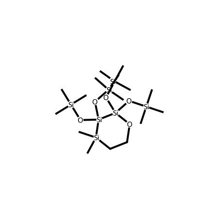 C[Si](C)(C)O[Si]1(O[Si](C)(C)C)OCC[Si](C)(C)[Si]1(O[Si](C)(C)C)O[Si](C)(C)C